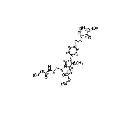 Cn1c(-c2ccc(OCC(ON)C(=O)OC(C)(C)C)cc2)cn(CCCNC(=O)OC(C)(C)C)/c1=N\C(=O)OC(C)(C)C